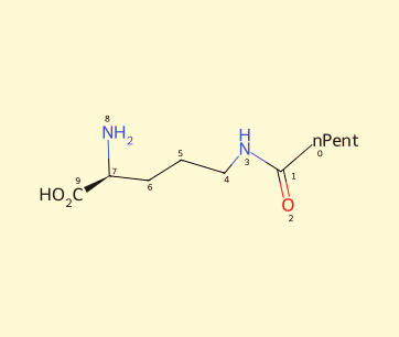 CCCCCC(=O)NCCC[C@H](N)C(=O)O